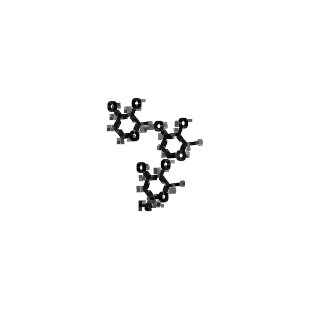 Cc1occc(=O)c1[O-].Cc1occc(=O)c1[O-].Cc1occc(=O)c1[O-].[Fe+3]